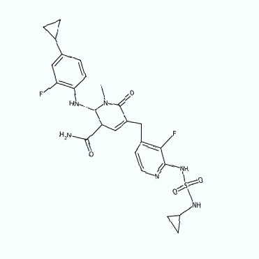 CN1C(=O)C(Cc2ccnc(NS(=O)(=O)NC3CC3)c2F)=CC(C(N)=O)C1Nc1ccc(C2CC2)cc1F